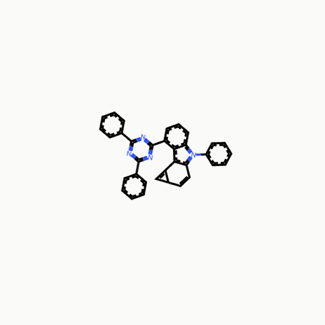 C1=CC2C=C2c2c1n(-c1ccccc1)c1cccc(-c3nc(-c4ccccc4)nc(-c4ccccc4)n3)c21